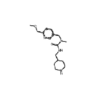 COCc1ccc(CN(C)C(=O)NCC2CCNCC2)cn1